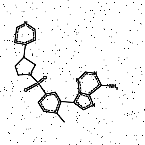 Cc1ccc(S(=O)(=O)N2CCC(c3ccncc3)C2)cc1-c1cnc2c(N)ncnn12